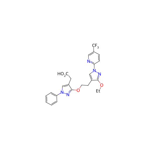 CCOc1nn(-c2ccc(C(F)(F)F)cn2)cc1CCOc1nn(-c2ccccc2)cc1CC(=O)O